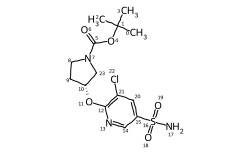 CC(C)(C)OC(=O)N1CC[C@@H](Oc2ncc(S(N)(=O)=O)cc2Cl)C1